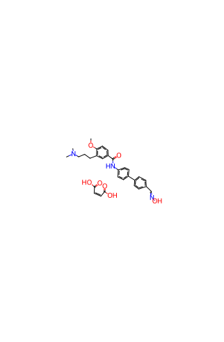 COc1ccc(C(=O)Nc2ccc(-c3ccc(C=NO)cc3)cc2)cc1CCCN(C)C.O=C(O)/C=C\C(=O)O